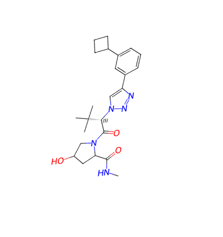 CNC(=O)C1CC(O)CN1C(=O)[C@@H](n1cc(-c2cccc(C3CCC3)c2)nn1)C(C)(C)C